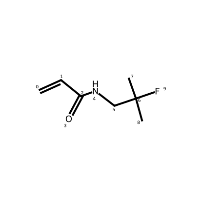 C=CC(=O)NCC(C)(C)F